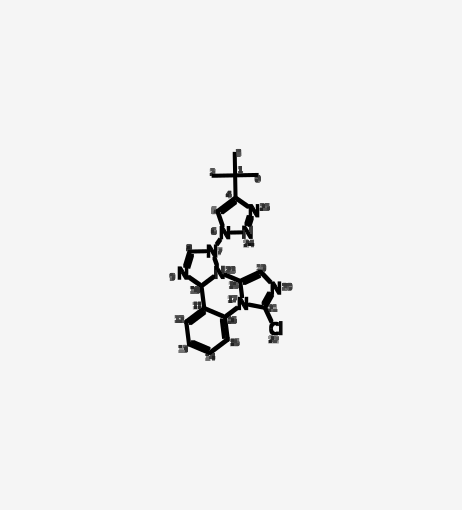 CC(C)(C)c1cn(N2C=NC3c4ccccc4-n4c(cnc4Cl)N32)nn1